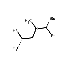 CCC([C@@H](C)CC)N(C)C[C@H](C)S